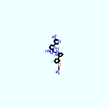 CN(C)CCOc1cc(F)cc(-c2cccc3[nH]c(-c4n[nH]c5ccc(-c6cncc(N(C)C)c6)nc45)nc23)c1